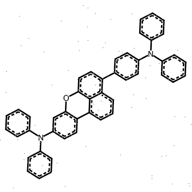 c1ccc(N(c2ccccc2)c2ccc(-c3ccc4c5c(cccc35)-c3ccc(N(c5ccccc5)c5ccccc5)cc3O4)cc2)cc1